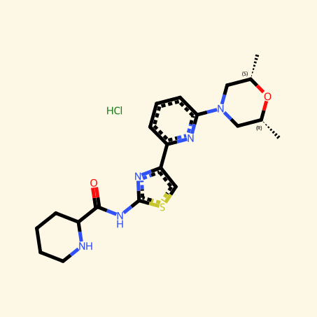 C[C@@H]1CN(c2cccc(-c3csc(NC(=O)C4CCCCN4)n3)n2)C[C@H](C)O1.Cl